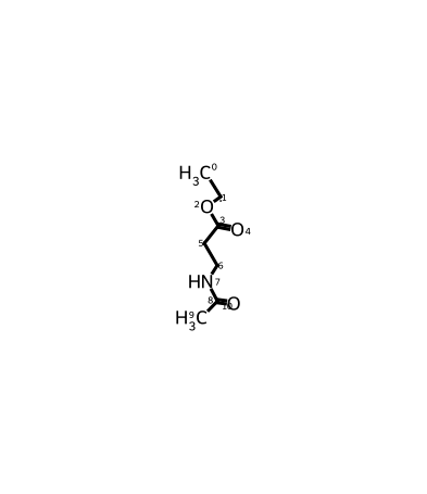 C[CH]OC(=O)CCNC(C)=O